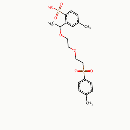 Cc1ccc(S(=O)(=O)CCOCCOC(C)c2cc(C)ccc2S(=O)(=O)O)cc1